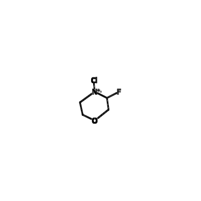 FC1COCC[N+]1Cl